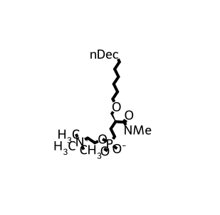 CCCCCCCCCCCCCCCCOC[C@H](CCP(=O)([O-])OCC[N+](C)(C)C)C(=O)NC